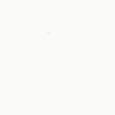 N#CCC([O])c1ccccc1